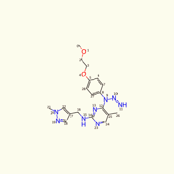 COCCOc1ccc(N(N=N)c2nc(NCc3cnn(C)c3)ncc2C)cc1